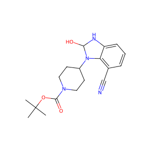 CC(C)(C)OC(=O)N1CCC(N2c3c(C#N)cccc3NC2O)CC1